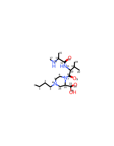 CCCCN1CCN(C(=O)C(NC(=O)C(C)NC)C(C)C)C(C(=O)O)C1